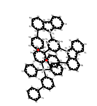 c1ccc(-c2cccc([Si](c3ccccc3)(c3ccccc3)c3cccc(-c4cc(-n5c6ccccc6c6cccc(-c7ccccc7)c65)nc(-n5c6ccccc6c6cccc(-c7ccccc7)c65)n4)c3)c2)cc1